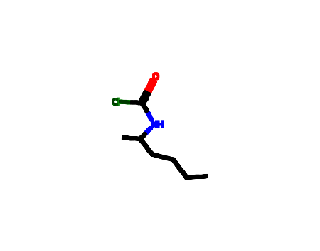 CCCCC(C)NC(=O)Cl